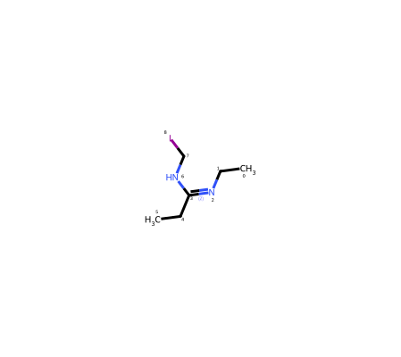 CC/N=C(/CC)NCI